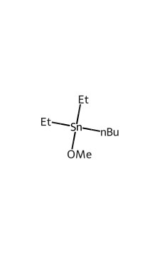 CCC[CH2][Sn]([CH2]C)([CH2]C)[O]C